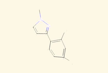 Cn1[c]cc(-c2ccc(C(F)(F)F)cc2C(F)(F)F)n1